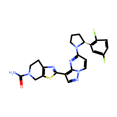 NC(=O)N1CCc2nc(-c3cnn4ccc(N5CCC[C@@H]5c5cc(F)ccc5F)nc34)sc2C1